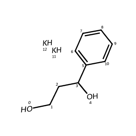 OCCC(O)c1ccccc1.[KH].[KH]